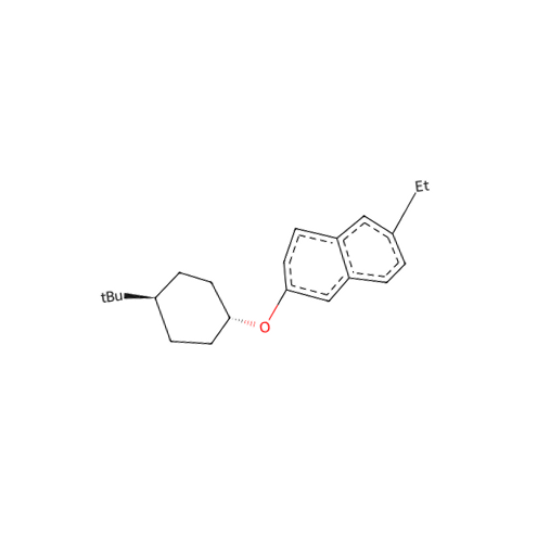 CCc1ccc2cc(O[C@H]3CC[C@H](C(C)(C)C)CC3)ccc2c1